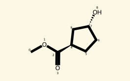 COC(=O)[C@@H]1CC[C@@H](O)C1